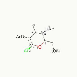 CC(=O)OCC1O[C@@H](Cl)C(OC(C)=O)C(C)[C@H]1OC(C)=O